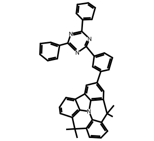 CC1(C)c2cccc3c2-n2c4c1cccc4c1cc(-c4cccc(-c5nc(-c6ccccc6)nc(-c6ccccc6)n5)c4)cc(c12)C3(C)C